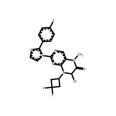 CCC1C(=O)N(C)c2cnc(-n3ccnc3-c3ccc(F)cc3)nc2N1C1CC(F)(F)C1